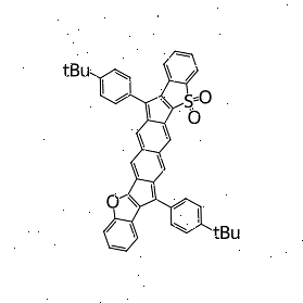 CC(C)(C)c1ccc(C2=c3cc4cc5c(cc4cc3C3=C2c2ccccc2S3(=O)=O)=C(c2ccc(C(C)(C)C)cc2)c2c-5oc3ccccc23)cc1